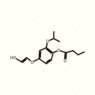 CCCC(=O)Oc1ccc(OC=CO)cc1OC(C)C